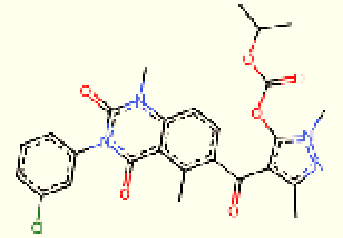 Cc1nn(C)c(OC(=O)OC(C)C)c1C(=O)c1ccc2c(c1C)c(=O)n(-c1cccc(Cl)c1)c(=O)n2C